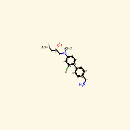 CC(=O)NC[C@H](O)CN(C=O)c1ccc(-c2ccc(CN)cc2)c(F)c1